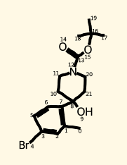 Cc1cc(Br)ccc1C1(O)CCN(C(=O)OC(C)(C)C)CC1